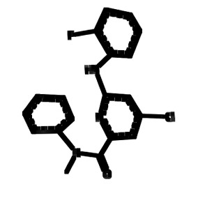 CN(C(=O)c1cc(Cl)cc(Nc2ccccc2F)n1)c1ccccc1